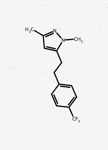 Cc1cc(CCc2ccc(C(F)(F)F)cc2)n(C)n1